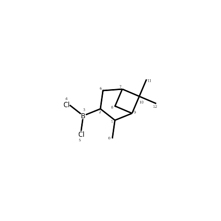 CC1C(B(Cl)Cl)CC2CC1C2(C)C